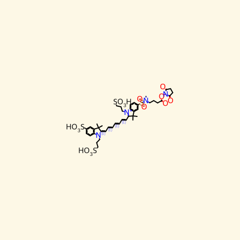 CN(CCCC(=O)ON1C(=O)CCC1=O)S(=O)(=O)c1ccc2c(c1)C(C)(C)C(/C=C/C=C/C=C/C=C1/N(CCCS(=O)(=O)O)c3ccc(S(=O)(=O)O)cc3C1(C)C)=[N+]2CCCS(=O)(=O)O